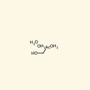 CC(=O)CO.O.O.O